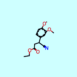 CCOC(=O)CC(C#N)c1ccc(OC)c(OC)c1